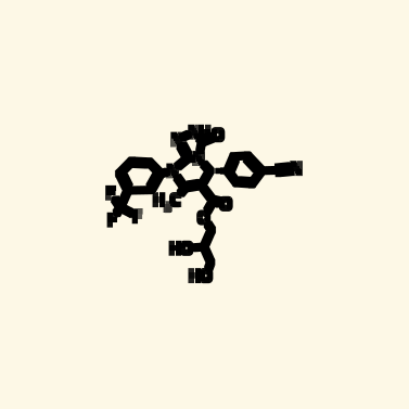 CC1=C(C(=O)OCC(O)CO)[C@@H](c2ccc(C#N)cc2)n2c(n[nH]c2=O)N1c1cccc(C(F)(F)F)c1